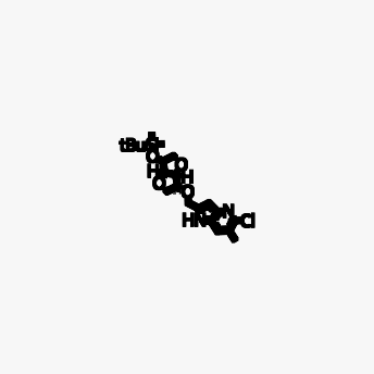 Cc1cc2[nH]c(CO[C@@H]3CO[C@@H]4C(O[Si](C)(C)C(C)(C)C)CO[C@@H]43)cc2nc1Cl